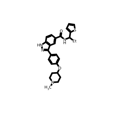 CCC(NC(=O)c1ccc2[nH]nc(-c3ccc(OC4CCN(C)CC4)cc3)c2c1)c1cccs1